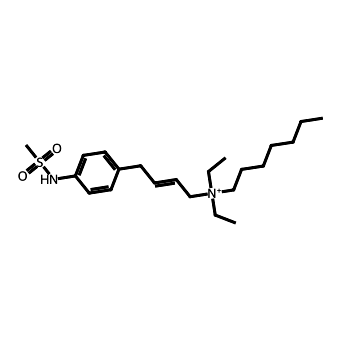 CCCCCCC[N+](CC)(CC)CC=CCc1ccc(NS(C)(=O)=O)cc1